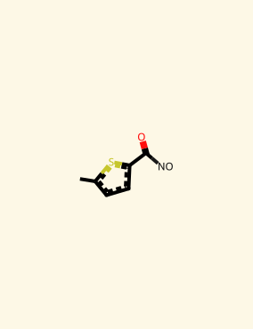 Cc1ccc(C(=O)N=O)s1